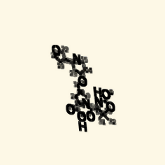 COC(=O)N[C@H](C(=O)N1C[C@H](COc2ccnc(-c3ccoc3)c2)C[C@H]1C(=O)O)C(C)(C)C